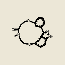 CN1CCOc2ccc3[nH]nc(c3c2)-c2cccc(c2)OCCC1=O